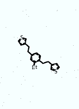 CCc1cc(CCc2ccsc2)ccc1CCc1ccsc1